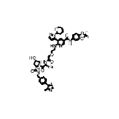 Cc1nnsc1-c1ccc(CNC(=O)[C@@H]2C[C@@H](O)CN2C(=O)C(NC(=O)COCCNc2ncc(C(=O)Nc3ccc(OC(F)(F)Cl)cc3)cc2-c2ccnn2C2CCCCO2)C(C)(C)C)cc1